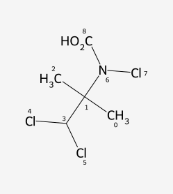 CC(C)(C(Cl)Cl)N(Cl)C(=O)O